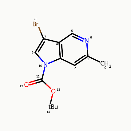 Cc1cc2c(cn1)c(Br)cn2C(=O)OC(C)(C)C